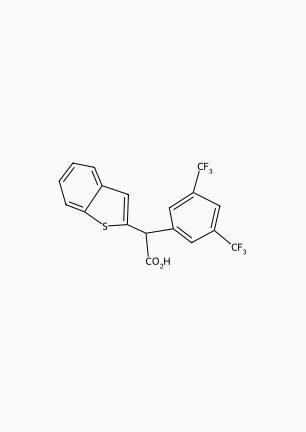 O=C(O)C(c1cc(C(F)(F)F)cc(C(F)(F)F)c1)c1cc2ccccc2s1